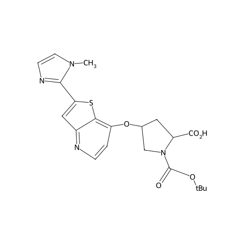 Cn1ccnc1-c1cc2nccc(OC3CC(C(=O)O)N(C(=O)OC(C)(C)C)C3)c2s1